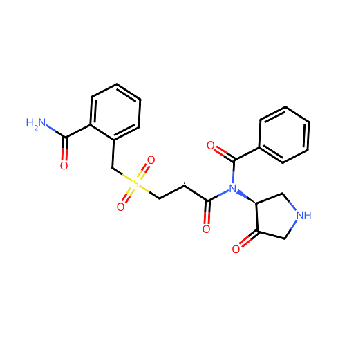 NC(=O)c1ccccc1CS(=O)(=O)C[CH]C(=O)N(C(=O)c1ccccc1)[C@H]1CNCC1=O